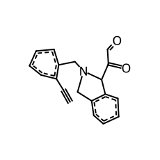 C#Cc1ccccc1CN1Cc2ccccc2C1C(=O)C=O